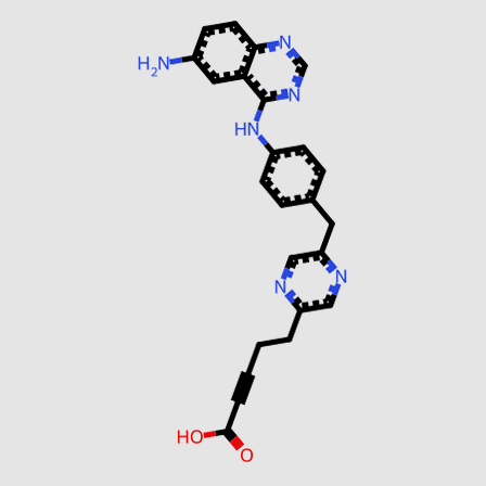 Nc1ccc2ncnc(Nc3ccc(Cc4cnc(CCC#CC(=O)O)cn4)cc3)c2c1